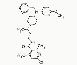 COc1ccc(N(Cc2cccnc2)C2CCN(C(C)CCNC(=O)c3c(C)cc(Cl)nc3C)CC2)cc1